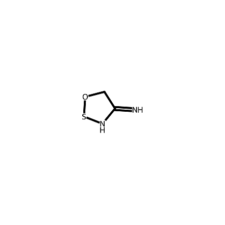 N=C1COSN1